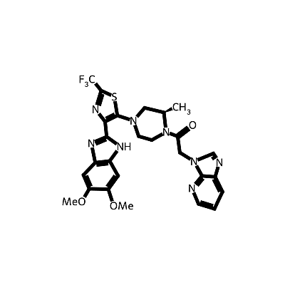 COc1cc2nc(-c3nc(C(F)(F)F)sc3N3CCN(C(=O)Cn4cnc5cccnc54)[C@H](C)C3)[nH]c2cc1OC